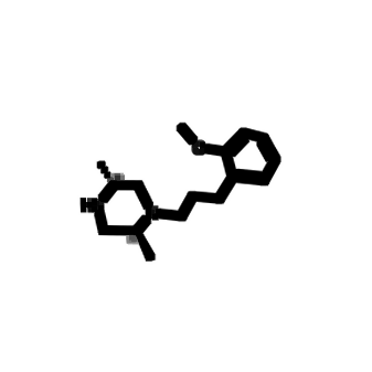 COc1ccccc1CCCN1C[C@@H](C)NC[C@@H]1C